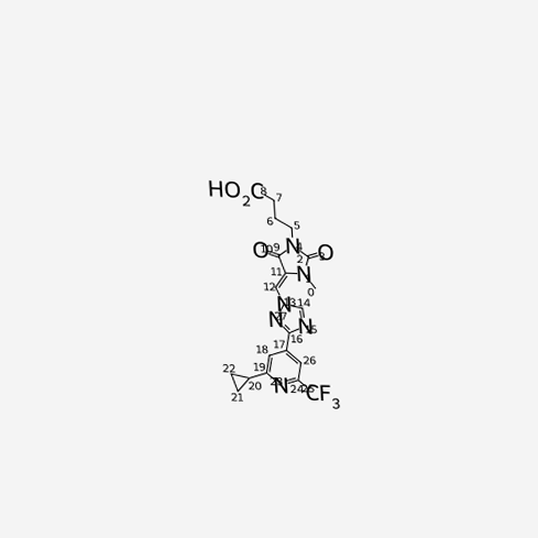 CN1C(=O)N(CCCC(=O)O)C(=O)/C1=C/n1cnc(-c2cc(C3CC3)nc(C(F)(F)F)c2)n1